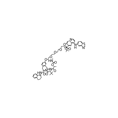 CNC(=O)OC(C)C(=O)NC(C(=O)N1Cc2cc(OCCOCCOCCOCCOc3cc4nccc(Nc5ccc6scnc6c5)c4cc3S(=O)(=O)C(C)(C)C)ccc2C[C@H]1C(=O)N[C@@H]1CCCc2ccccc21)C(C)(C)C